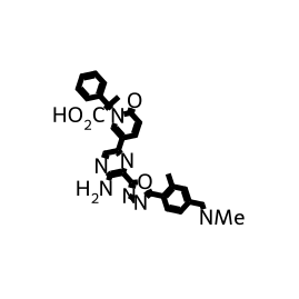 CNCc1ccc(-c2nnc(-c3nc(-c4ccc(=O)n(C(C)(C(=O)O)c5ccccc5)c4)cnc3N)o2)c(C)c1